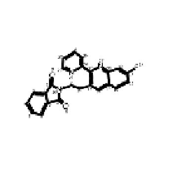 O=C1c2ccccc2C(=O)N1CCc1cc2ccc(F)cc2nc1-c1ccccn1